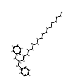 CCCCCCCCCCCCCCCCC=CN(Cc1ccccc1)Cc1ccccc1